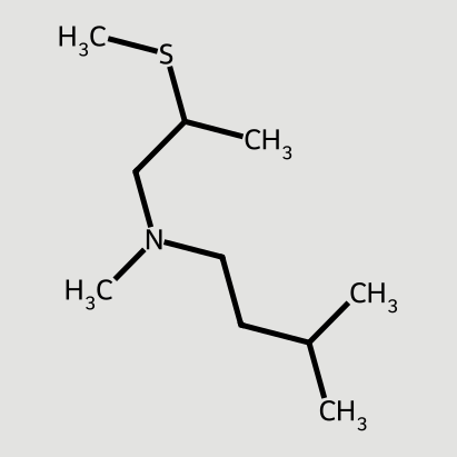 CSC(C)CN(C)CCC(C)C